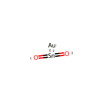 [Au].[O]=[Sn]=[O]